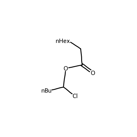 CCCCCCCC(=O)OC(Cl)CCCC